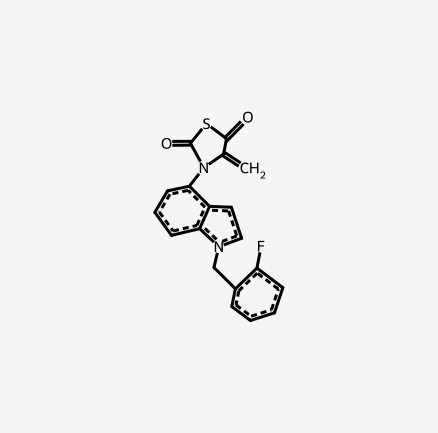 C=C1C(=O)SC(=O)N1c1cccc2c1ccn2Cc1ccccc1F